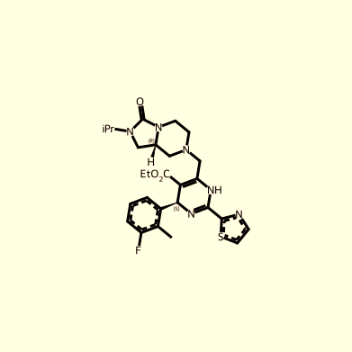 CCOC(=O)C1=C(CN2CCN3C(=O)N(C(C)C)C[C@H]3C2)NC(c2nccs2)=N[C@H]1c1cccc(F)c1C